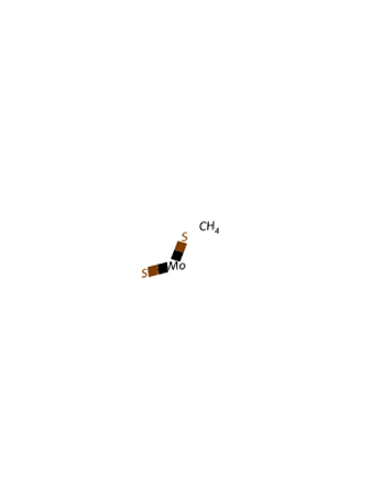 C.[S]=[Mo]=[S]